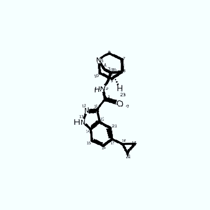 O=C(N[C@H]1CN2CCC1CC2)c1n[nH]c2ccc(C3CC3)cc12